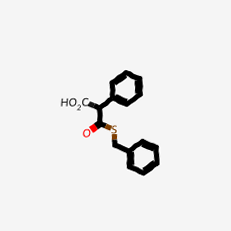 O=C(O)C(C(=O)SCc1ccccc1)c1ccccc1